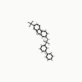 CC(C)(C)c1ccc2c(c1)oc1cc(CC(C)(C)c3cccc(-c4ccccc4)c3)ccc12